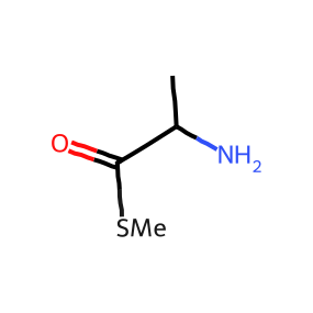 CSC(=O)C(C)N